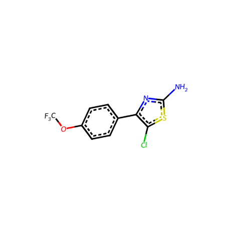 Nc1nc(-c2ccc(OC(F)(F)F)cc2)c(Cl)s1